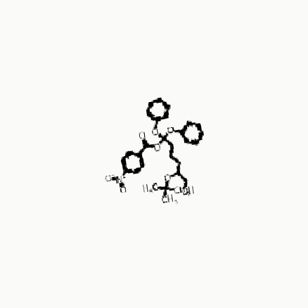 CC(C)(C)OC(CO)CCCC(OC(=O)c1ccc([N+](=O)[O-])cc1)(Oc1ccccc1)Oc1ccccc1